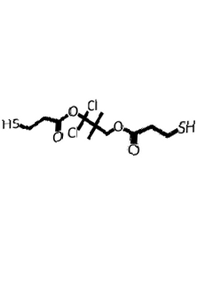 CC(C)(COC(=O)CCS)C(Cl)(Cl)OC(=O)CCS